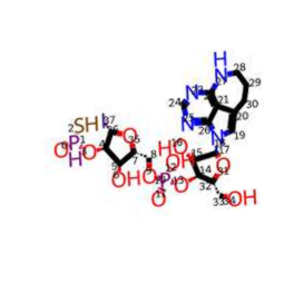 O=[PH](S)O[C@@H]1[C@H](O)[C@@H](COP(=O)(O)O[C@H]2[C@@H](O)[C@H](n3cc4c5c(ncnc53)NCCC4)O[C@@H]2CO)O[C@H]1I